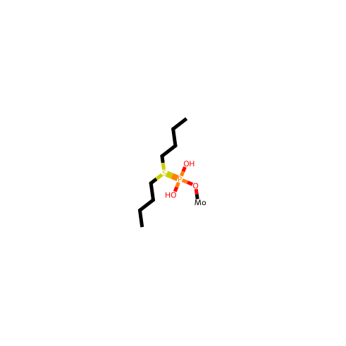 CCCCS(CCCC)=P(O)(O)[O][Mo]